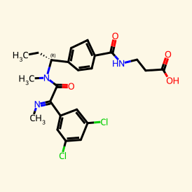 CC[C@H](c1ccc(C(=O)NCCC(=O)O)cc1)N(C)C(=O)C(=NC)c1cc(Cl)cc(Cl)c1